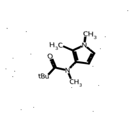 Cc1c(N(C)C(=O)C(C)(C)C)ccn1C